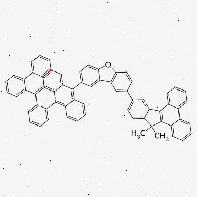 CC1(C)c2ccc(-c3ccc4oc5ccc(-c6c7ccccc7c(-c7ccccc7-c7cc8ccccc8c8ccccc78)c7ccccc67)cc5c4c3)cc2-c2c1c1ccccc1c1ccccc21